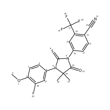 COc1ccc(N2C(=S)N(c3ccc(C#N)c(C(F)(F)F)c3)C(=O)C2(C)C)cc1F